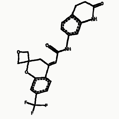 O=C(/C=C1\CC2(COC2)Oc2cc(C(F)(F)F)ccc21)Nc1ccc2c(c1)NC(=O)CC2